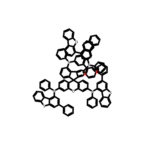 c1ccc(-c2cc(N(c3ccccc3)c3ccc4c(c3)Oc3cc(N(c5ccccc5)c5cc(-c6ccccc6)cc6sc7ccccc7c56)ccc3C43c4ccc(N(c5ccccc5)c5cc(-c6cccc7c6oc6ccccc67)c6sc7ccccc7c6c5)cc4-c4c(N(c5ccccc5)c5cc(-c6ccccc6)c6oc7ccccc7c6c5)cccc43)c3c(c2)sc2ccccc23)cc1